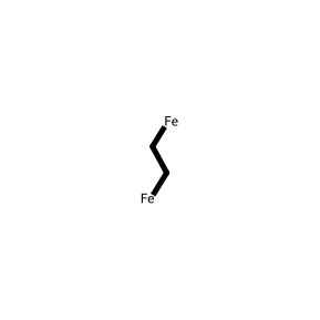 [Fe][CH2][CH2][Fe]